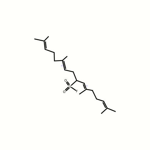 CC(C)=CCC/C(C)=C/CC(/C=C(\C)CCC=C(C)C)S(=O)(=O)F